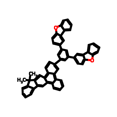 CC1(C)c2ccccc2-c2cc3c4ccccc4c4cc(-c5cc(-c6ccc7oc8ccccc8c7c6)cc(-c6ccc7oc8ccccc8c7c6)c5)ccc4c3cc21